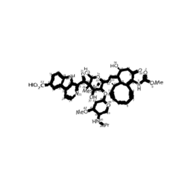 COC(=O)NC1=C2C#C/C=C\C#C[C@H](OC3OC(C)C(SC)(C(=O)c4nccc5c4[nH]c4ccc(C(=O)O)cc45)C(O)C3OC3CC(OC)C(NC(C)C)CO3)C2/C(=C\CSC(C)=O)[C@@H](O)CC1=O